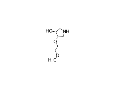 COCCO[C@H]1CNC[C@@H]1O